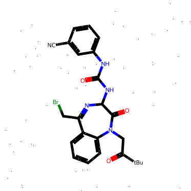 CC(C)(C)C(=O)CN1C(=O)C(NC(=O)Nc2cccc(C#N)c2)N=C(CBr)c2ccccc21